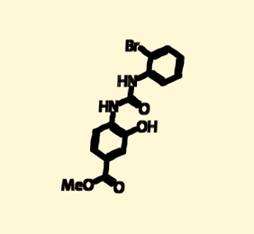 COC(=O)c1ccc(NC(=O)Nc2ccccc2Br)c(O)c1